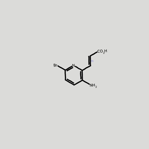 Nc1ccc(Br)nc1/C=C/C(=O)O